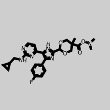 CN(C)OC(=O)C1(C)COC(c2nc(-c3ccc(F)cc3)c(-c3ccnc(NCC4CC4)n3)[nH]2)OC1